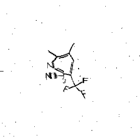 Cc1cc(C(F)(F)F)cnc1C.N